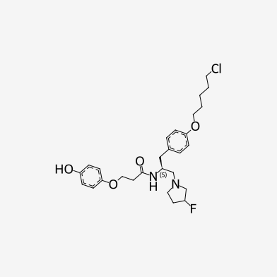 O=C(CCOc1ccc(O)cc1)N[C@@H](Cc1ccc(OCCCCCCl)cc1)CN1CCC(F)C1